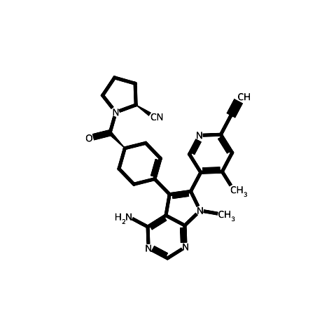 C#Cc1cc(C)c(-c2c(C3=CC[C@H](C(=O)N4CCC[C@H]4C#N)CC3)c3c(N)ncnc3n2C)cn1